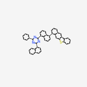 c1ccc(-c2nc(-c3cccc4ccccc34)nc(-c3cccc4c(-c5cccc6cc7c(cc56)sc5ccccc57)cccc34)n2)cc1